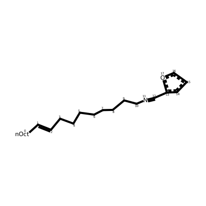 CCCCCCCCC=CCCCCCCCCN=Cc1ccco1